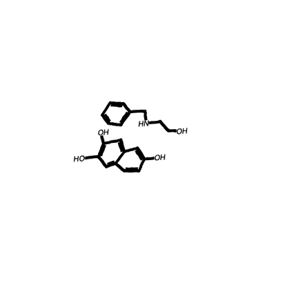 OCCNCc1ccccc1.Oc1ccc2cc(O)c(O)cc2c1